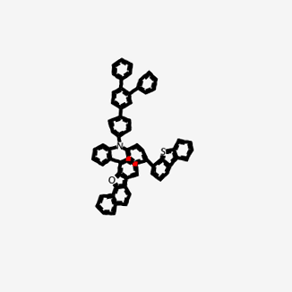 c1ccc(-c2ccc(-c3ccc(N(c4ccc(-c5cccc6c5sc5ccccc56)cc4)c4ccccc4-c4cccc5c4oc4c6ccccc6ccc54)cc3)cc2-c2ccccc2)cc1